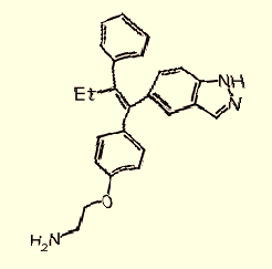 CCC(=C(c1ccc(OCCN)cc1)c1ccc2[nH]ncc2c1)c1ccccc1